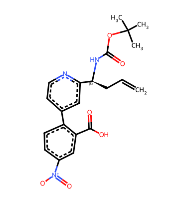 C=CC[C@H](NC(=O)OC(C)(C)C)c1cc(-c2ccc([N+](=O)[O-])cc2C(=O)O)ccn1